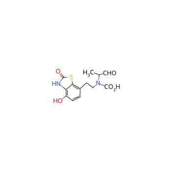 CC(C=O)N(CCc1ccc(O)c2[nH]c(=O)sc12)C(=O)O